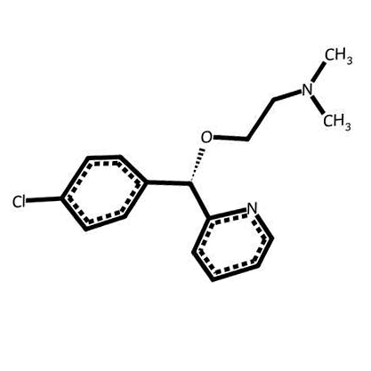 CN(C)CCO[C@@H](c1ccc(Cl)cc1)c1ccccn1